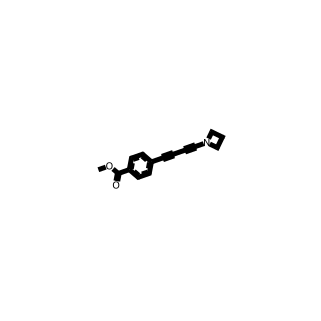 COC(=O)c1ccc(C#CC#CN2CCC2)cc1